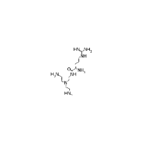 CNCCN(CCN)CCNC(=O)C(N)CCCNC(=N)N